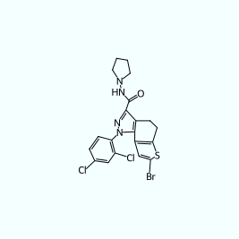 O=C(NN1CCCC1)c1nn(-c2ccc(Cl)cc2Cl)c2c1CCc1sc(Br)cc1-2